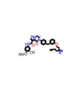 C#CCCC1(CCOc2cccc(Cc3ccc(N4C(=O)c5c(C(=O)Nc6ccc(OC)c(C#N)c6)cnn5C[C@@H]4C)cc3)c2)N=N1